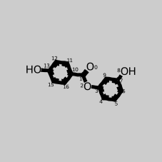 O=C(Oc1cccc(O)c1)c1ccc(O)cc1